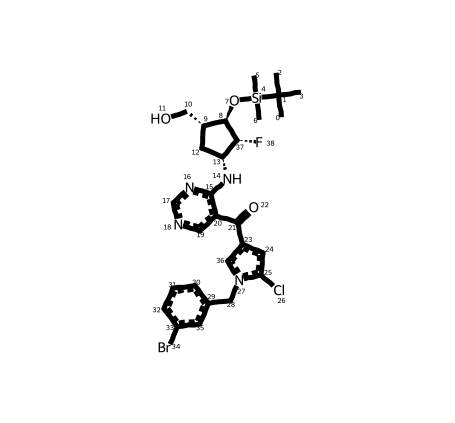 CC(C)(C)[Si](C)(C)O[C@@H]1[C@@H](CO)C[C@@H](Nc2ncncc2C(=O)c2cc(Cl)n(Cc3cccc(Br)c3)c2)[C@H]1F